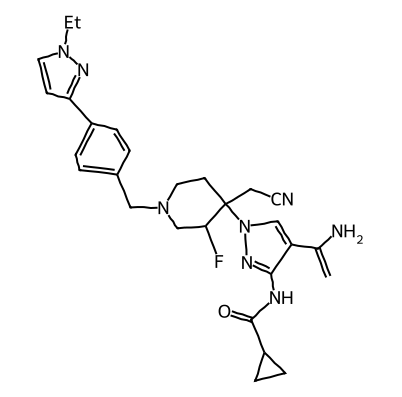 C=C(N)c1cn(C2(CC#N)CCN(Cc3ccc(-c4ccn(CC)n4)cc3)CC2F)nc1NC(=O)C1CC1